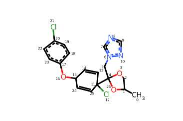 CC1COC(Cn2cncn2)(C2(Cl)C=CC(Oc3ccc(Cl)cc3)C=C2)O1